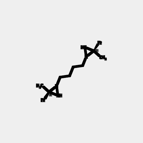 CC[C@@]1(C)NN1CCCCN1N[C@@]1(C)CC